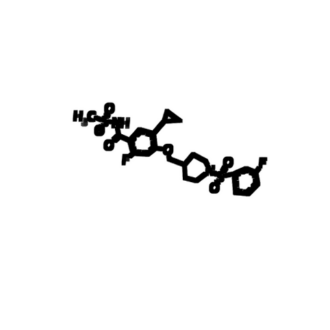 CS(=O)(=O)NC(=O)c1cc(C2CC2)c(OCC2CCN(S(=O)(=O)c3cccc(F)c3)CC2)cc1F